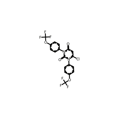 O=c1cc(Cl)n(-c2ccc(OC(F)(F)F)cc2)c(=O)n1-c1ccc(OC(F)(F)F)cc1